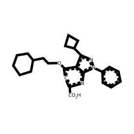 O=C(O)c1cc(OCCC2CCCCC2)c2c(C3CCC3)nn(-c3ccccc3)c2n1